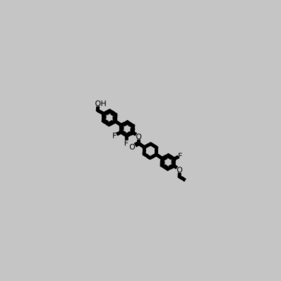 CCOc1ccc(C2CCC(C(=O)Oc3ccc(-c4ccc(CO)cc4)c(F)c3F)CC2)cc1F